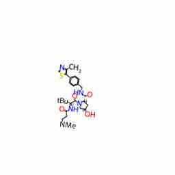 CNCCC(=O)N[C@H](C(=O)N1C[C@H](O)C[C@H]1C(=O)NCc1ccc(-c2scnc2C)cc1)C(C)(C)C